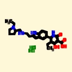 CCc1c(-c2ccc3[nH]c(CCNCC4CCCN4CC)cc3c2)[nH]c(=O)c(C(=O)O)c1O.Cl.Cl